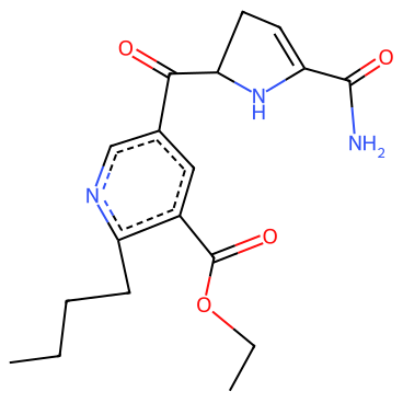 CCCCc1ncc(C(=O)C2CC=C(C(N)=O)N2)cc1C(=O)OCC